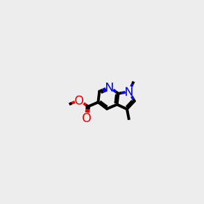 COC(=O)c1cnc2c(c1)c(C)cn2C